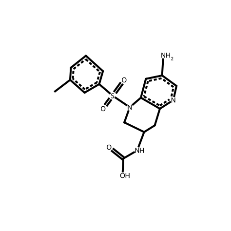 Cc1cccc(S(=O)(=O)N2CC(NC(=O)O)Cc3ncc(N)cc32)c1